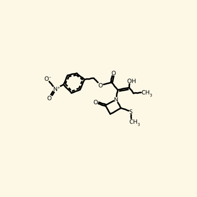 CCC(O)=C(C(=O)OCc1ccc([N+](=O)[O-])cc1)N1C(=O)CC1SC